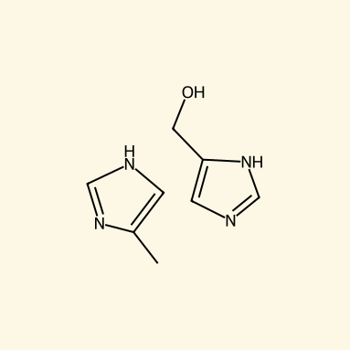 Cc1c[nH]cn1.OCc1cnc[nH]1